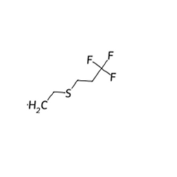 [CH2]CSCCC(F)(F)F